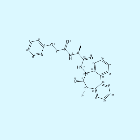 C[C@H](NC(=O)COc1ccccc1)C(=O)NN1C(=O)[C@@H](C)c2ccccc2-c2ccccc21